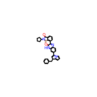 O=c1[nH]c2cc(C3=CC(Cc4ccccc4)c4cccn43)ccc2nc1-c1cccc2c(=O)n(C3CCCC3)sc12